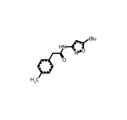 Cc1ccc(CC(=O)Nc2cc(C(C)(C)C)on2)cc1